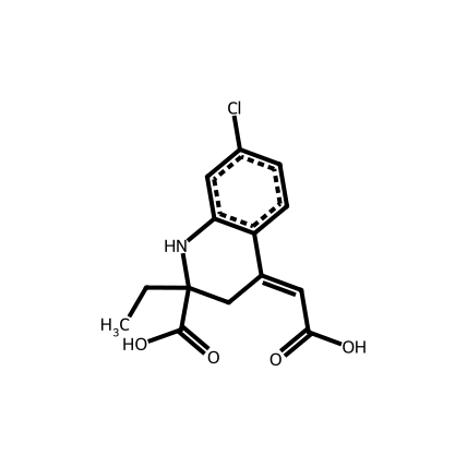 CCC1(C(=O)O)CC(=CC(=O)O)c2ccc(Cl)cc2N1